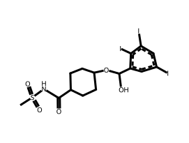 CS(=O)(=O)NC(=O)C1CCC(OC(O)c2cc(I)cc(I)c2I)CC1